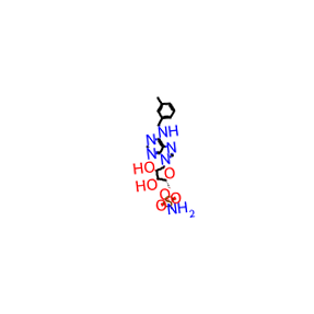 Cc1cccc(CNc2ncnc3c2ncn3[C@@H]2O[C@H](COS(N)(=O)=O)[C@@H](O)[C@H]2O)c1